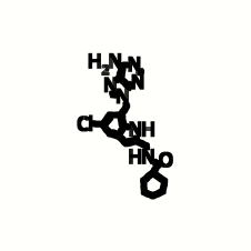 Nc1ncnc2c1ncn2Cc1cc(Cl)cc2cc(CNC(=O)C3CCCCC3)[nH]c12